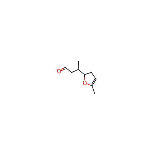 CC1=CCC(C(C)CC=O)O1